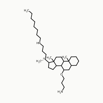 CCCCCCCCNCCC[C@@H](C)C1CCC2C3C(OCCCN)CC4CCCCC4(C)C3CCC21C